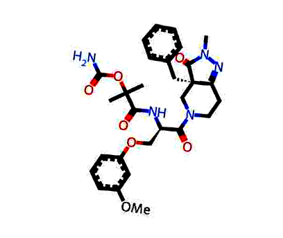 COc1cccc(OC[C@@H](NC(=O)C(C)(C)OC(N)=O)C(=O)N2CCC3=NN(C)C(=O)[C@]3(Cc3ccccc3)C2)c1